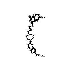 CCOC(=O)c1cc2cc(N3CCN(CCCCc4c[nH]c5ccc(C#N)cc45)CC3)ccc2o1